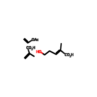 C=C(C)C(=O)O.C=COC(C)=O.CC(=CCCO)C(=O)O